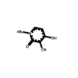 CCCCn1ccc(O)c(C#N)c1=O